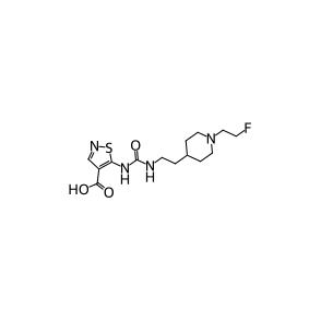 O=C(NCCC1CCN(CCF)CC1)Nc1sncc1C(=O)O